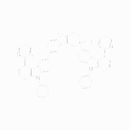 CC1(c2ccc3c(c2)c2c(-c4ncccn4)cccc2n3-c2ccccc2)C=c2c(oc3ccc(-c4ccc5c(c4)c4c(-c6ncccn6)cccc4n5-c4ccccc4)cc23)=CC1